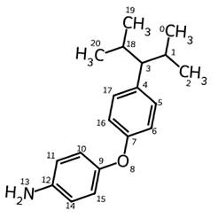 CC(C)C(c1ccc(Oc2ccc(N)cc2)cc1)C(C)C